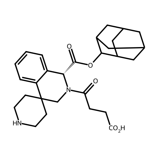 O=C(O)CCC(=O)N1CC2(CCNCC2)c2ccccc2[C@@H]1C(=O)OC1C2CC3CC(C2)CC1C3